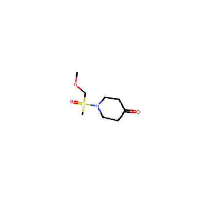 COC[SH](C)(=O)N1CCC(=O)CC1